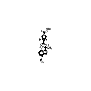 CC(C)CSc1cccn2c(C(C)(C)NC(=O)C3[C@H]4CN(C(=O)OC(C)(C)C)C[C@@H]34)ncc12